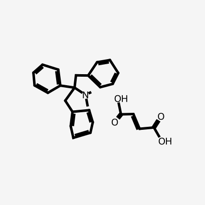 CN(C)C(Cc1ccccc1)(Cc1ccccc1)c1ccccc1.O=C(O)/C=C/C(=O)O